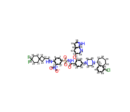 O=C(NS(=O)(=O)c1ccc(NCC2CC3(CCC(F)(F)CC3)C2)c([N+](=O)[O-])c1)c1ccc(N2CCN([C@@H]3CCCCc4c(Cl)cccc43)CC2)cc1Oc1cnc2[nH]ccc2c1